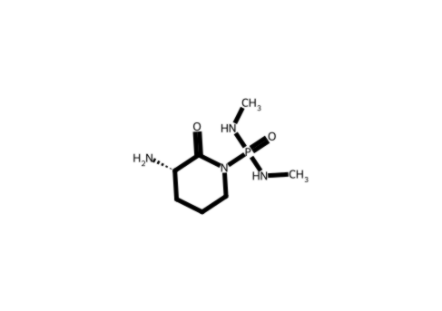 CNP(=O)(NC)N1CCC[C@H](N)C1=O